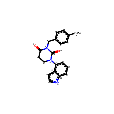 COc1ccc(CN2C(=O)CCN(c3cccc4[nH]ccc34)C2=O)cc1